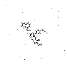 COc1ccc(NCC(=Cc2ccc(C(=O)NO)cc2)CCOc2cccc3ccccc23)cc1